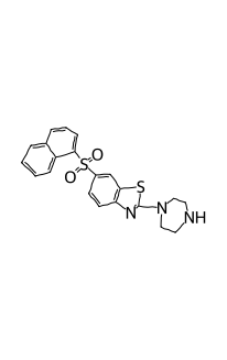 O=S(=O)(c1ccc2nc(N3CCNCC3)sc2c1)c1cccc2ccccc12